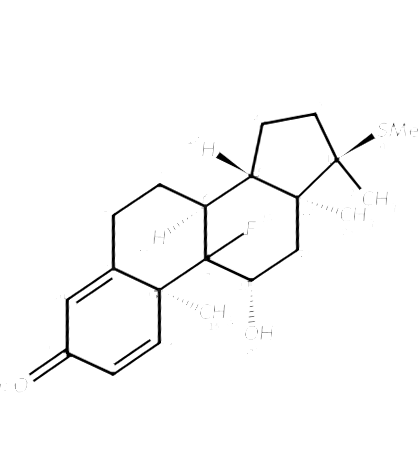 CS[C@]1(C)CC[C@H]2[C@@H]3CCC4=CC(=O)C=C[C@]4(C)C3(F)[C@@H](O)C[C@@]21C